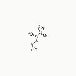 CCCC(=O)C(=O)CCC(C)C